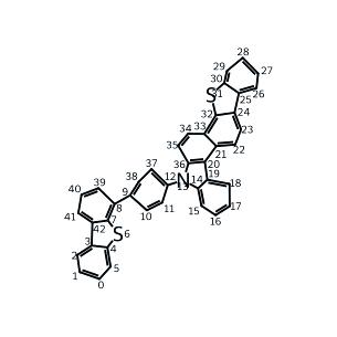 c1ccc2c(c1)sc1c(-c3ccc(-n4c5ccccc5c5c6ccc7c8ccccc8sc7c6ccc54)cc3)cccc12